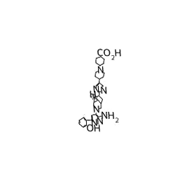 Nc1nnc(-c2ccccc2O)cc1N1CC2CC(c3ncc(C4CCN([C@H]5CC[C@@H](C(=O)O)CC5)CC4)cn3)[C@H]3C(C1)C23